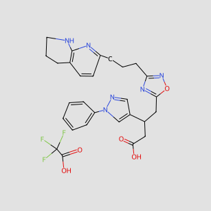 O=C(O)C(F)(F)F.O=C(O)CC(Cc1nc(CCCc2ccc3c(n2)NCCC3)no1)c1cnn(-c2ccccc2)c1